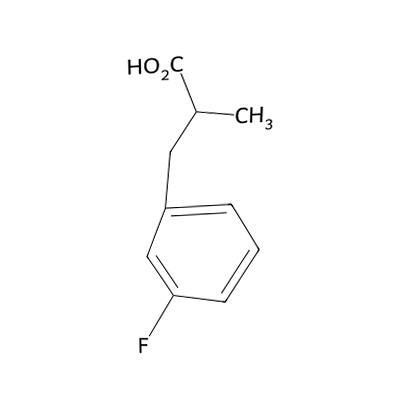 CC(Cc1cccc(F)c1)C(=O)O